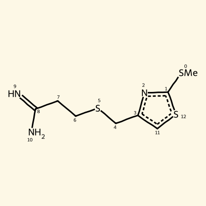 CSc1nc(CSCCC(=N)N)cs1